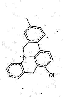 Cc1ccc2c(c1)CN1c3ccccc3Cc3c(O)ccc-2c31